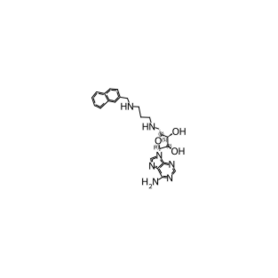 Nc1ncnc2c1ncn2[C@@H]1O[C@H](CNCCCNCc2ccc3ccccc3c2)[C@@H](O)[C@H]1O